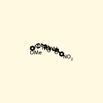 COc1cccc(N2CCN(Cc3cn(CC(=O)NCc4ccc(-c5ccc([N+](=O)[O-])cc5)o4)nn3)CC2)c1